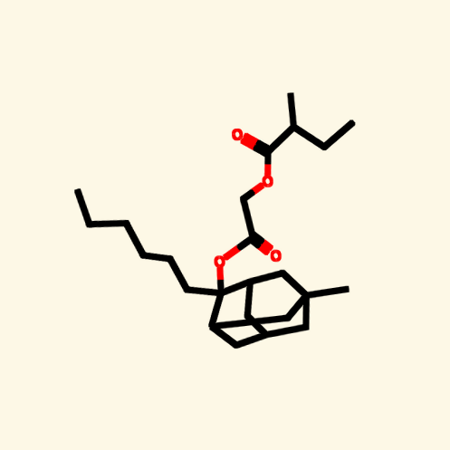 CCCCCCC1(OC(=O)COC(=O)C(C)CC)C2CC3CC1CC(C)(C3)C2